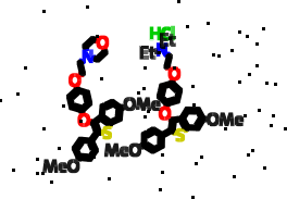 CCN(CC)CCOc1ccc(Oc2c(-c3ccc(OC)cc3)sc3cc(OC)ccc23)cc1.COc1ccc(-c2sc3cc(OC)ccc3c2Oc2ccc(OCCN3CCOCC3)cc2)cc1.Cl